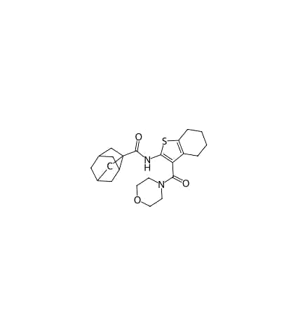 O=C(c1c(NC(=O)C23CC4CC(CC2C4)C3)sc2c1CCCC2)N1CCOCC1